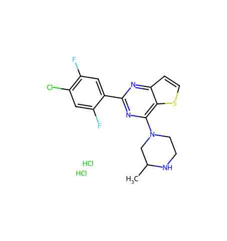 CC1CN(c2nc(-c3cc(F)c(Cl)cc3F)nc3ccsc23)CCN1.Cl.Cl